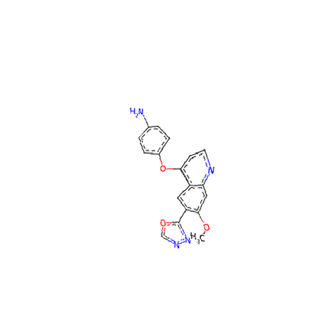 COc1cc2nccc(Oc3ccc(N)cc3)c2cc1-c1nnco1